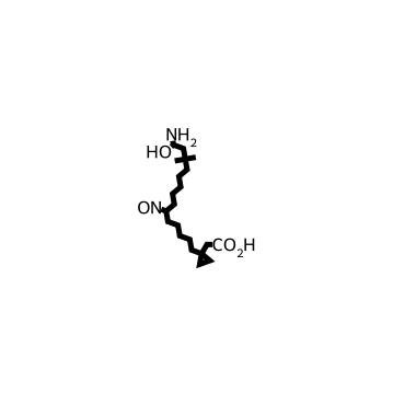 CC(C)(CCCCCC(CCCCCC1(CC(=O)O)CC1)N=O)CC(N)O